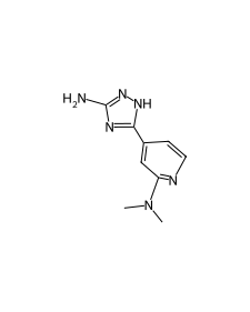 CN(C)c1cc(-c2nc(N)n[nH]2)ccn1